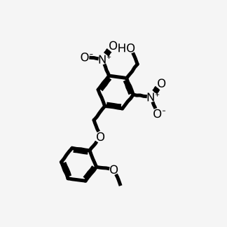 COc1ccccc1OCc1cc([N+](=O)[O-])c(CO)c([N+](=O)[O-])c1